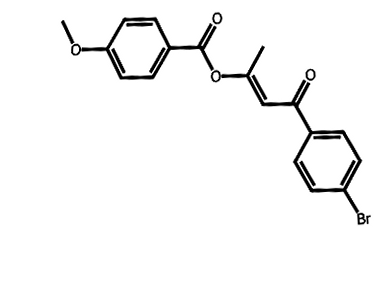 COc1ccc(C(=O)O/C(C)=C/C(=O)c2ccc(Br)cc2)cc1